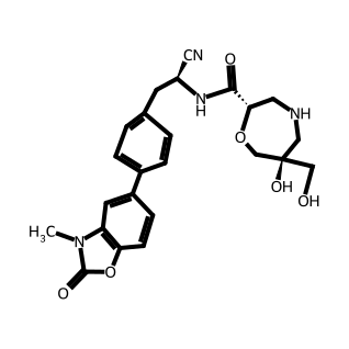 Cn1c(=O)oc2ccc(-c3ccc(C[C@@H](C#N)NC(=O)[C@@H]4CNC[C@](O)(CO)CO4)cc3)cc21